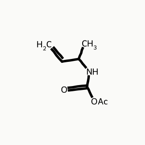 C=CC(C)NC(=O)OC(C)=O